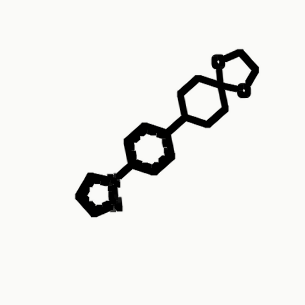 c1cnn(-c2ccc(C3CCC4(CC3)OCCO4)cc2)c1